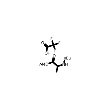 CCCCNC(C)C(=O)OC.O=C(O)C(F)(F)F